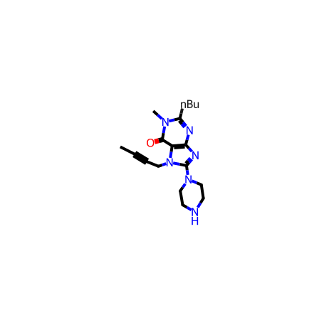 CC#CCn1c(N2CCNCC2)nc2nc(CCCC)n(C)c(=O)c21